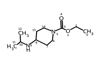 CCOC(=O)N1CCC(NC(C)C)CC1